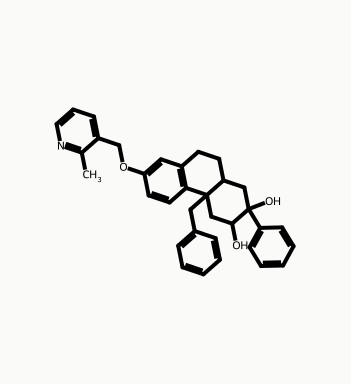 Cc1ncccc1COc1ccc2c(c1)CCC1CC(O)(c3ccccc3)C(O)CC21Cc1ccccc1